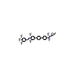 CCOC/C(F)=C(\F)c1ccc(-c2ccc(-c3cc(F)c(/C=C/c4cc(F)c(F)c(F)c4)c(F)c3)cc2)cc1